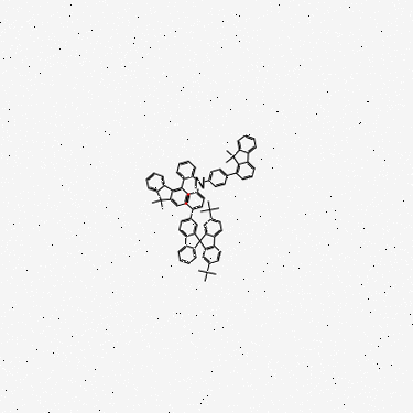 CC(C)(C)c1ccc2c(c1)C1(c3ccccc3-c3ccc(-c4ccc(N(c5ccc(-c6cccc7c6C(C)(C)c6ccccc6-7)cc5)c5ccccc5-c5cccc6c5-c5ccccc5C6(C)C)cc4)cc31)c1cc(C(C)(C)C)ccc1-2